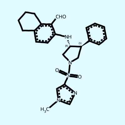 Cn1cnc(S(=O)(=O)N2C[C@H](Nc3ccc4c(c3C=O)CCCC4)[C@@H](c3ccccc3)C2)c1